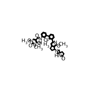 COc1nc(-c2cccc(-c3cccc(NC(=O)c4cn(C)c(=O)n(C)c4=O)c3C)c2F)cc2c1[C@@H](N1CC3(CCC(=O)N3)C1)CC2